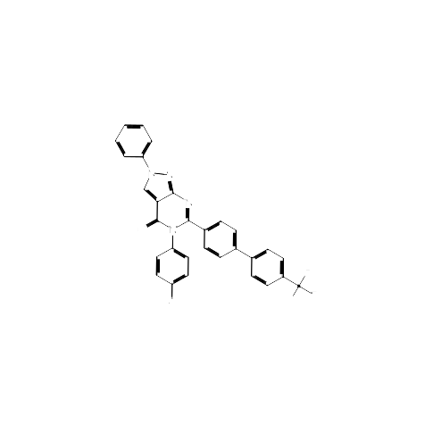 O=c1c2cn(-c3ccccc3)nc2nc(-c2ccc(-c3ccc(C(F)(F)F)cc3)cc2)n1-c1ccc(Cl)cc1